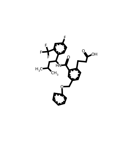 CC(C)CC(NC(=O)c1cc(COc2ccccc2)ccc1CCC(=O)O)c1ccc(F)cc1C(F)(F)F